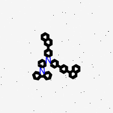 c1cc(N(c2ccc(-c3ccc(-c4cccc5ccccc45)cc3)cc2)c2ccc(-c3ccc4ccccc4c3)cc2)cc(-n2c3ccccc3c3ccccc32)c1